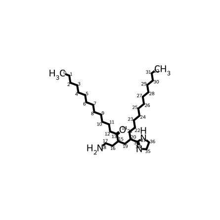 CCCCCCCCCCCCCC(=O)C(CCN)CC(CCCCCCCCCCCC)C1=NCCN1